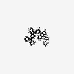 c1ccc(-c2cccc(-c3c4ccccc4c(-c4cccc(-n5c6ccccc6c6cc(N(c7ccccc7)c7ccccc7)ccc65)c4)c4ccccc34)c2)cc1